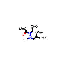 CCC(C)N(CC(OC)OC)N(CC=O)C(=O)OC